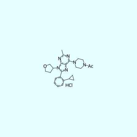 CC(=O)N1CCN(c2nc(C)nc3c2nc(-c2ccccc2C2CC2)n3C2CCOC2)CC1.Cl